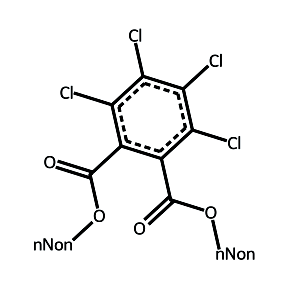 CCCCCCCCCOC(=O)c1c(Cl)c(Cl)c(Cl)c(Cl)c1C(=O)OCCCCCCCCC